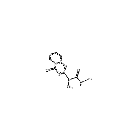 CCCCNC(=O)N(C)c1nc2ccccc2c(=O)o1